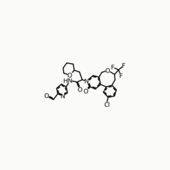 O=Cc1ccc(NC(=O)C(CC2CCCCO2)n2cc3c(cc2=O)-c2cc(Cl)ccc2CC(C(F)(F)F)OC3)cn1